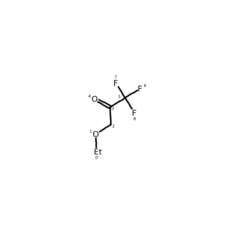 CCOCC(=O)C(F)(F)F